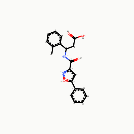 Cc1ccccc1C(CC(=O)O)NC(=O)c1cc(-c2ccccc2)on1